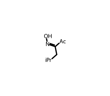 CC(=O)/C(CC(C)C)=N\O